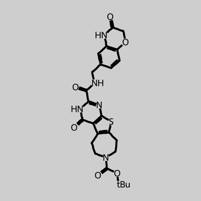 CC(C)(C)OC(=O)N1CCc2sc3nc(C(=O)NCc4ccc5c(c4)NC(=O)CO5)[nH]c(=O)c3c2CC1